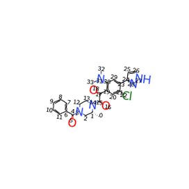 C[C@@H]1CN(C(=O)c2ccccc2)CCN1C(=O)C(=O)c1cc(Cl)c(-c2cc[nH]n2)cc1N(C)C